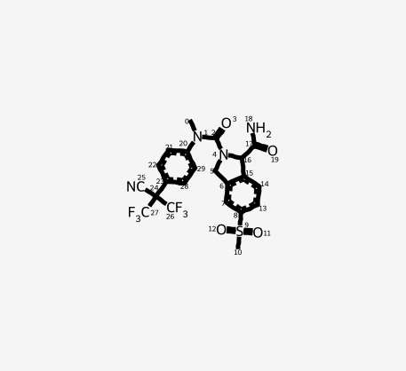 CN(C(=O)N1Cc2cc(S(C)(=O)=O)ccc2C1C(N)=O)c1ccc(C(C#N)(C(F)(F)F)C(F)(F)F)cc1